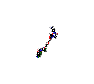 Cc1ncsc1-c1ccc(CNC(=O)[C@@H]2CCCN2C(=O)[C@@H](NC(=O)COCCCOCCCCOc2ncc(N3C(=S)N(c4ccc(C#N)c(C(F)(F)F)c4F)C(=O)C3(C)C)cc2C(F)(F)F)C(C)(C)C)cc1